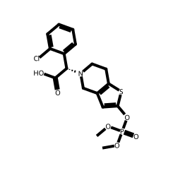 COP(=O)(OC)Oc1cc2c(s1)CCN([C@H](C(=O)O)c1ccccc1Cl)C2